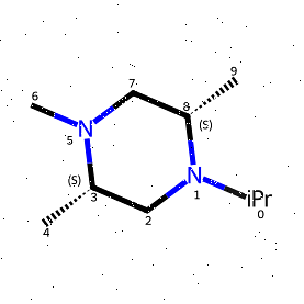 CC(C)N1C[C@H](C)N(C)C[C@@H]1C